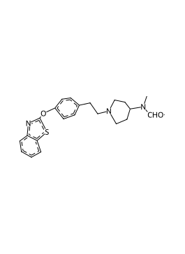 CN([C]=O)C1CCN(CCc2ccc(Oc3nc4ccccc4s3)cc2)CC1